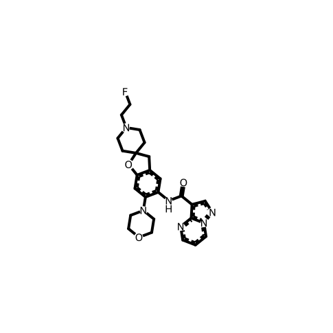 O=C(Nc1cc2c(cc1N1CCOCC1)OC1(CCN(CCF)CC1)C2)c1cnn2cccnc12